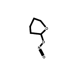 O=NOC1CCCCO1